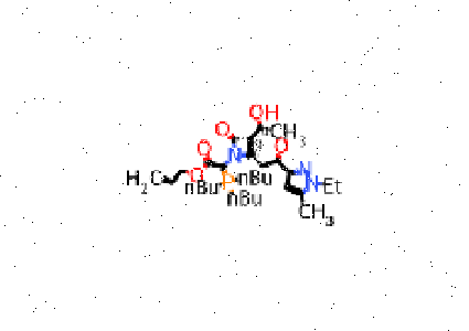 C=CCOC(=O)C(N1C(=O)[C@H]([C@@H](C)O)[C@H]1CC(=O)c1cc(C)n(CC)n1)=P(CCCC)(CCCC)CCCC